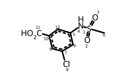 CS(=O)(=O)Nc1cc(Cl)cc(C(=O)O)c1